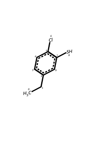 CCc1ccc(Cl)c(S)c1